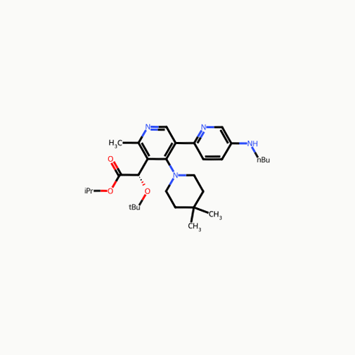 CCCCNc1ccc(-c2cnc(C)c([C@H](OC(C)(C)C)C(=O)OC(C)C)c2N2CCC(C)(C)CC2)nc1